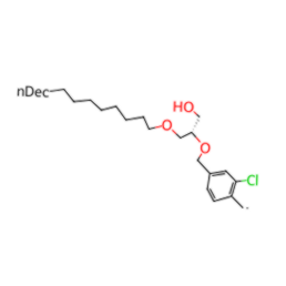 [CH2]c1ccc(CO[C@@H](CO)COCCCCCCCCCCCCCCCCCC)cc1Cl